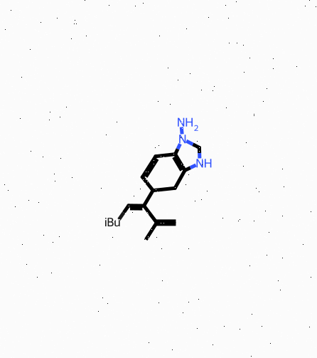 C=C(C)/C(=C\C(C)CC)C1C=CC2=C(C1)NCN2N